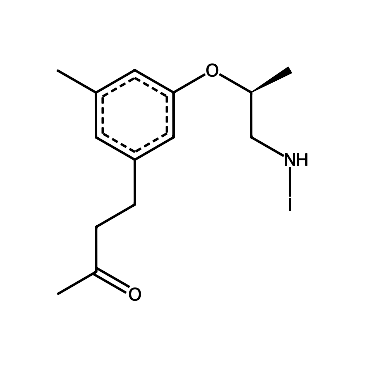 CC(=O)CCc1cc(C)cc(O[C@@H](C)CNI)c1